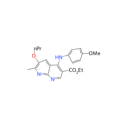 CCCOc1cc2c(Nc3ccc(OC)cc3)c(C(=O)OCC)cnc2nc1C